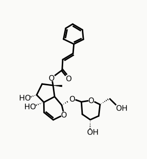 C[C@]1(OC(=O)/C=C/c2ccccc2)C[C@@H](O)[C@]2(O)C=CO[C@@H](OC3C[C@@H](O)C[C@@H](CO)O3)C12